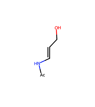 CC(=O)NC=CCO